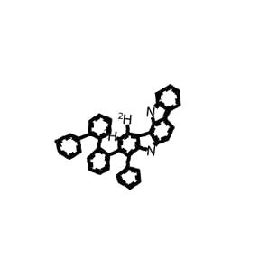 [2H]c1c([2H])c(-c2ccccc2-c2ccccc2-c2ccccc2)c(-c2ccccc2)c2c1-c1c3c(ccc1=N2)=c1ccccc1=N3